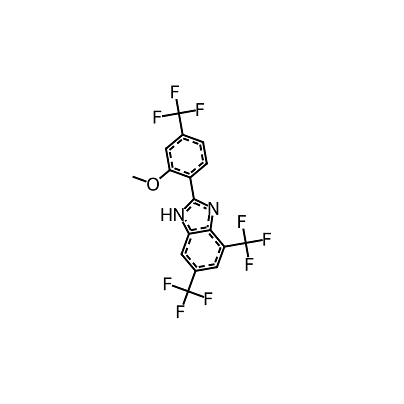 COc1cc(C(F)(F)F)ccc1-c1nc2c(C(F)(F)F)cc(C(F)(F)F)cc2[nH]1